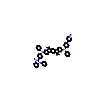 CN1c2ccccc2N(c2ccccc2)C1c1ccc(N(c2ccccc2)c2ccc3c(c2)C(C)(C)c2cc4c(cc2-3)C(C)(C)c2cc(N(c3ccccc3)c3ccc(-c5cc[n+](C)cc5)cc3)ccc2-4)cc1